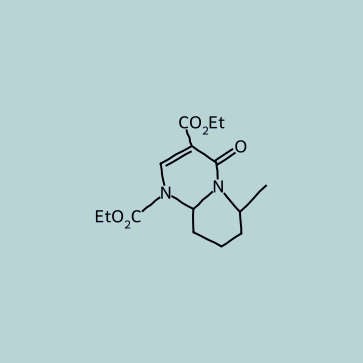 CCOC(=O)C1=CN(C(=O)OCC)C2CCCC(C)N2C1=O